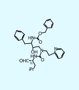 CC(C)C[C@@H]([C]=O)NC(=O)N(CCc1ccccn1)CC(O)C(Cc1ccccc1)NC(=O)OCc1ccccc1